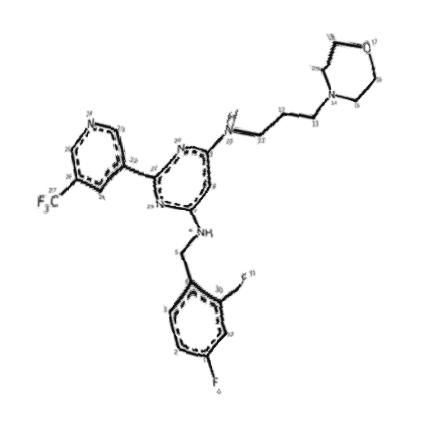 Fc1ccc(CNc2cc(NCCCN3CCOCC3)nc(-c3cncc(C(F)(F)F)c3)n2)c(F)c1